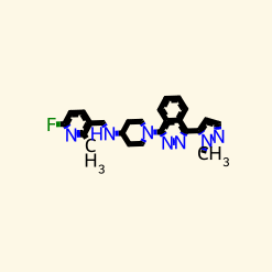 Cc1nc(F)ccc1CNC1CCN(c2nnc(-c3ccnn3C)c3ccccc23)CC1